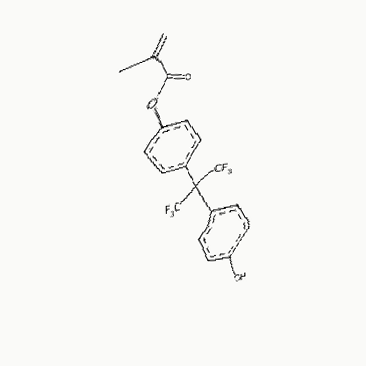 C=C(C)C(=O)Oc1ccc(C(c2ccc(O)cc2)(C(F)(F)F)C(F)(F)F)cc1